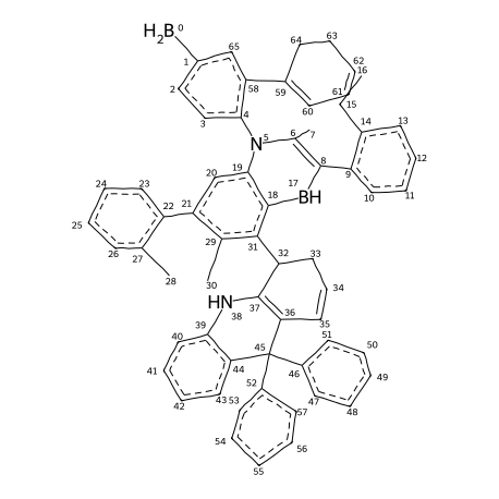 Bc1ccc(N2C(C)=C(c3ccccc3CC)Bc3c2cc(-c2ccccc2C)c(C)c3C2CC=CC3=C2Nc2ccccc2C3(c2ccccc2)c2ccccc2)c(C2=CC=CCC2)c1